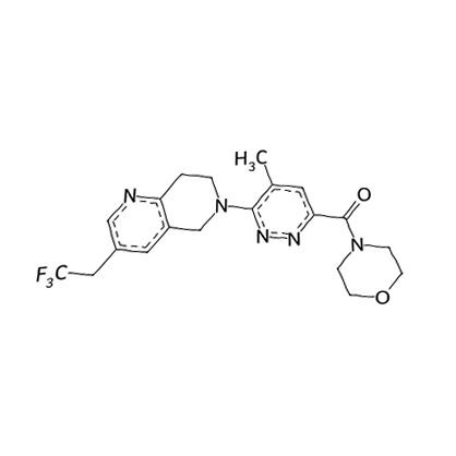 Cc1cc(C(=O)N2CCOCC2)nnc1N1CCc2ncc(CC(F)(F)F)cc2C1